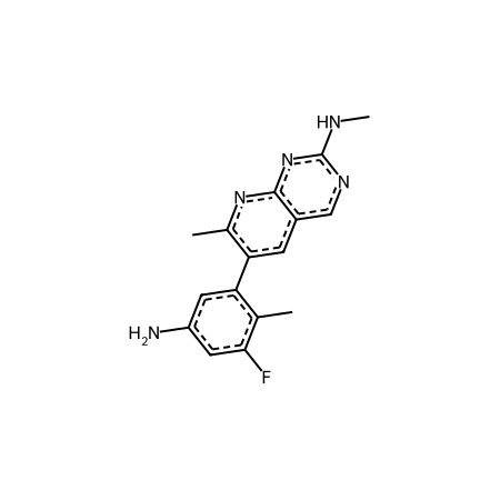 CNc1ncc2cc(-c3cc(N)cc(F)c3C)c(C)nc2n1